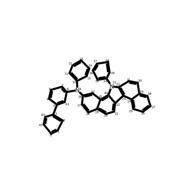 c1ccc(-c2cccc(N(c3ccccc3)c3ccc4ccc5c6c7ccccc7ccc6n(-c6ccccc6)c5c4c3)c2)cc1